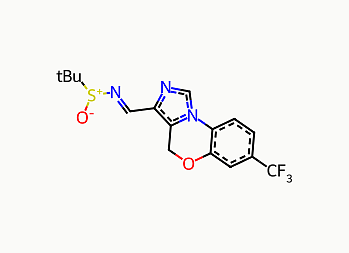 CC(C)(C)[S+]([O-])N=Cc1ncn2c1COc1cc(C(F)(F)F)ccc1-2